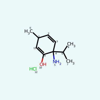 CC1C=CC(N)(C(C)C)C(O)=C1.Cl